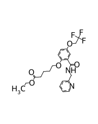 CCOC(=O)CCCCOc1ccc(OCC(F)(F)F)cc1C(=O)NCc1ccccn1